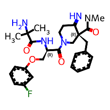 CNC(=O)[C@]1(Cc2ccccc2)CN(C(=O)[C@@H](COc2cccc(F)c2)NC(=O)C(C)(C)N)CCC1=N